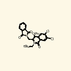 CC(C)COc1c(CN2C(=O)c3ccccc3C2=O)n(CC(C)(C)C)c(=O)c2cc(Cl)c(Cl)cc12